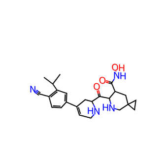 CC(C)c1cc(C2=CCNC(C(=O)C3NCC4(CC4)CC3C(=O)NO)C2)ccc1C#N